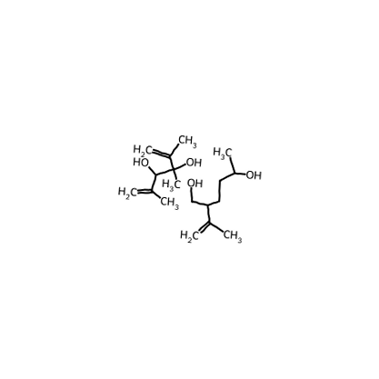 C=C(C)C(CO)CCC(C)O.C=C(C)C(O)C(C)(O)C(=C)C